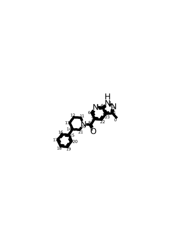 Cc1n[nH]c2ncc(C(=O)N3CCCC(c4ccccc4)C3)cc12